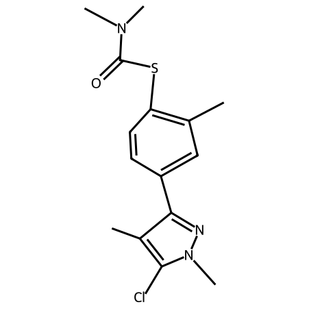 Cc1cc(-c2nn(C)c(Cl)c2C)ccc1SC(=O)N(C)C